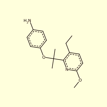 CCc1ccc(OC)nc1C(C)(C)Oc1ccc(N)cc1